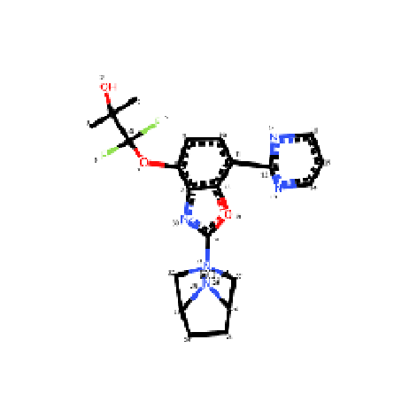 CC(C)(O)C(F)(F)Oc1ccc(-c2ncccn2)c2oc(N3CC4CCC(C3)N4C(=O)O)nc12